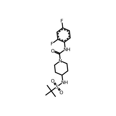 CC(C)(C)S(=O)(=O)NC1CCN(C(=O)Nc2ccc(F)cc2F)CC1